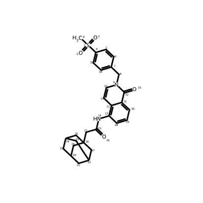 CS(=O)(=O)c1ccc(Cn2ccc3c(NC(=O)CC45CC6CC(CC(C6)C4)C5)cccc3c2=O)cc1